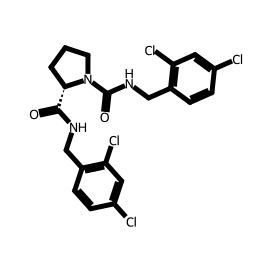 O=C(NCc1ccc(Cl)cc1Cl)[C@@H]1CCCN1C(=O)NCc1ccc(Cl)cc1Cl